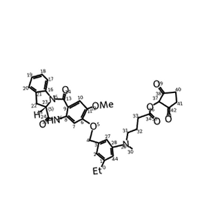 CCc1cc(COc2cc3c(cc2OC)C(=O)N2c4ccccc4C[C@H]2C(=O)N3)cc(N(C)CCCC(=O)OC2C(=O)CCC2=O)c1